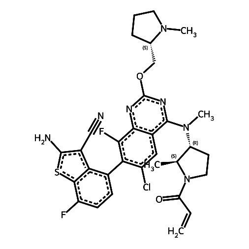 C=CC(=O)N1CC[C@@H](N(C)c2nc(OC[C@@H]3CCCN3C)nc3c(F)c(-c4ccc(F)c5sc(N)c(C#N)c45)c(Cl)cc23)[C@@H]1C